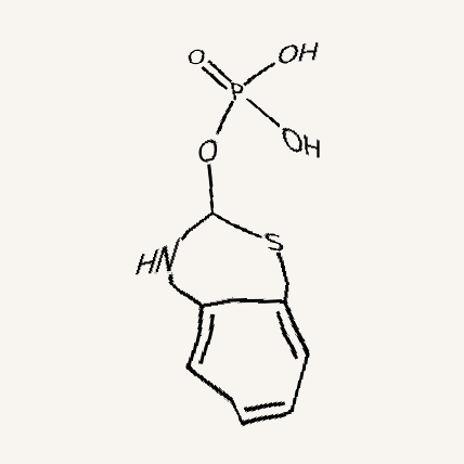 O=P(O)(O)OC1Nc2ccccc2S1